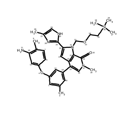 Cc1cc(Oc2ccc(C)c(N)c2)cc(-c2cn(C)c(=O)c3c2cc(-c2nc(C)c[nH]2)n3COCC[Si](C)(C)C)c1